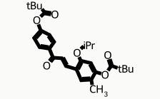 Cc1cc(C=CC(=O)c2ccc(OC(=O)C(C)(C)C)cc2)c(OC(C)C)cc1OC(=O)C(C)(C)C